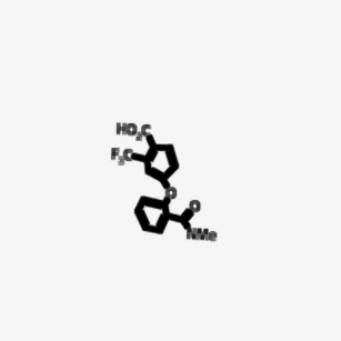 CNC(=O)c1ccccc1Oc1ccc(C(=O)O)c(C(F)(F)F)c1